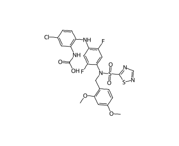 COc1ccc(CN(c2cc(F)c(Nc3ccc(Cl)cc3NC(=O)O)cc2F)S(=O)(=O)c2ncns2)c(OC)c1